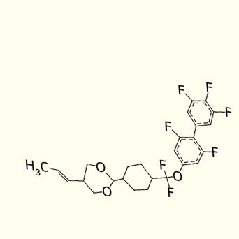 C/C=C/C1COC(C2CCC(C(F)(F)Oc3cc(F)c(-c4cc(F)c(F)c(F)c4)c(F)c3)CC2)OC1